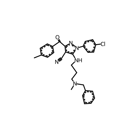 Cc1ccc(C(=O)c2nn(-c3ccc(Cl)cc3)c(NCCCN(C)Cc3ccccc3)c2C#N)cc1